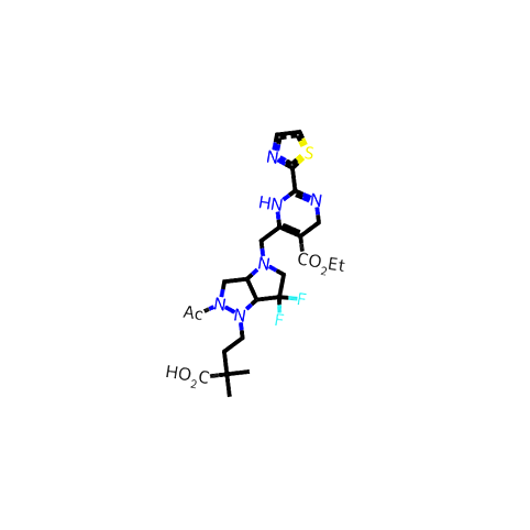 CCOC(=O)C1=C(CN2CC(F)(F)C3C2CN(C(C)=O)N3CCC(C)(C)C(=O)O)NC(c2nccs2)=NC1